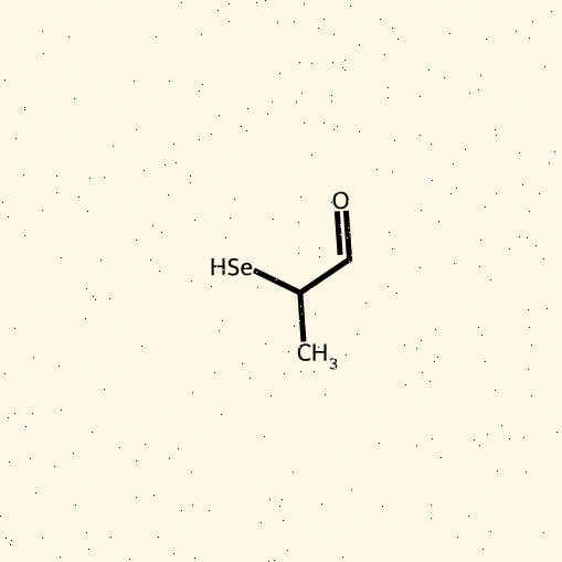 CC([SeH])C=O